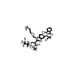 CC(C)(C)[S@@+]([O-])N[C@@H](COC(C)(C)C(F)(F)F)c1nc2cc([C@H](N3C(=O)c4ccccc4C3=O)C3(C#N)CC3)ccc2n1COCC[Si](C)(C)C